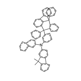 CC1(C)c2ccccc2-c2ccc(N(c3cccc(C4(c5ccccc5)c5ccccc5C5(c6ccccc6)c6ccccc6-c6cccc4c65)c3)c3ccc4ccccc4c3)cc21